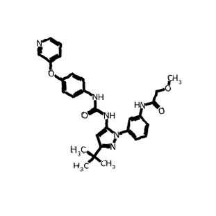 COCC(=O)Nc1cccc(-n2nc(C(C)(C)C)cc2NC(=O)Nc2ccc(Oc3cccnc3)cc2)c1